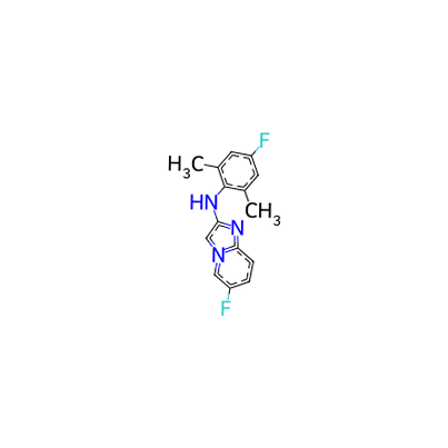 Cc1cc(F)cc(C)c1Nc1cn2cc(F)ccc2n1